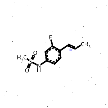 C/C=C/c1ccc(NS(C)(=O)=O)cc1F